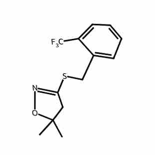 CC1(C)CC(SCc2ccccc2C(F)(F)F)=NO1